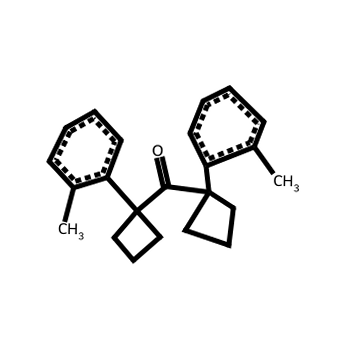 Cc1ccccc1C1(C(=O)C2(c3ccccc3C)CCC2)CCC1